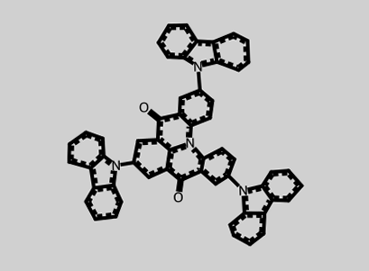 O=c1c2cc(-n3c4ccccc4c4ccccc43)ccc2n2c3ccc(-n4c5ccccc5c5ccccc54)cc3c(=O)c3cc(-n4c5ccccc5c5ccccc54)cc1c32